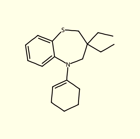 CCC1(CC)CSc2ccccc2N(C2=CCCCC2)C1